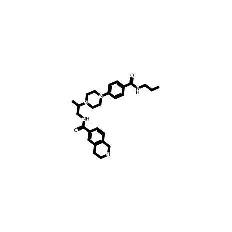 CCCNC(=O)c1ccc(N2CCN(C(C)CNC(=O)c3ccc4c(c3)CCOC4)CC2)cc1